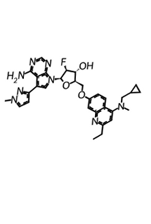 CCc1cc(N(C)CC2CC2)c2ccc(OC[C@H]3O[C@@H](n4cc(-c5ccn(C)n5)c5c(N)ncnc54)[C@@H](F)[C@@H]3O)cc2n1